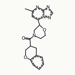 Cc1cc(C2CN(C(=O)C3COc4ccccc4C3)CCO2)n2ncnc2n1